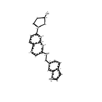 O[C@@H]1CCN(c2ccc3ncc(NCc4ccc5cc[nH]c5c4)nc3n2)C1